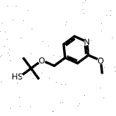 COc1cc(COC(C)(C)S)ccn1